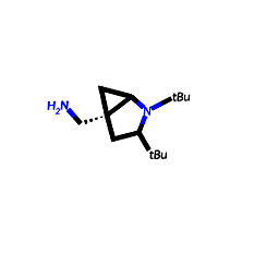 CC(C)(C)C1C[C@@]2(CN)CC2N1C(C)(C)C